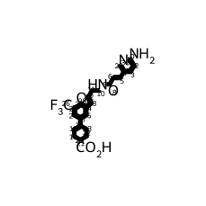 Nc1ccc(/C=C/C(=O)NCCc2cc3cc(C4=CCC(C(=O)O)CC4)cc(C(F)(F)F)c3o2)cn1